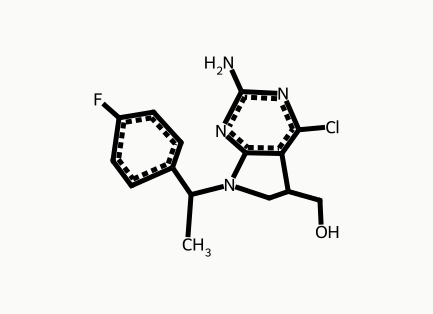 CC(c1ccc(F)cc1)N1CC(CO)c2c(Cl)nc(N)nc21